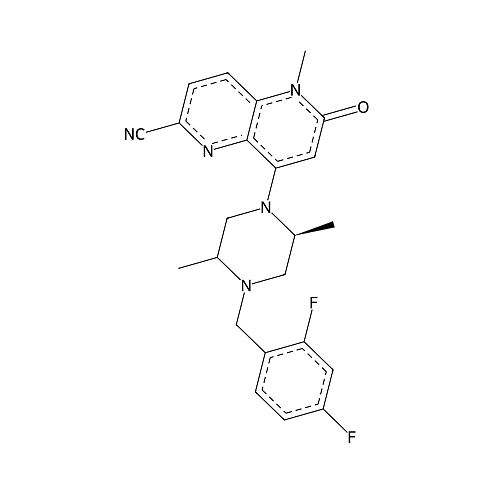 CC1CN(c2cc(=O)n(C)c3ccc(C#N)nc23)[C@@H](C)CN1Cc1ccc(F)cc1F